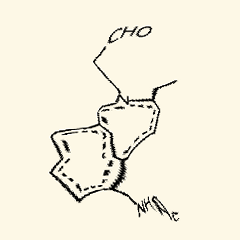 CC(=O)Nc1cccc2c1cc(C)n2CC=O